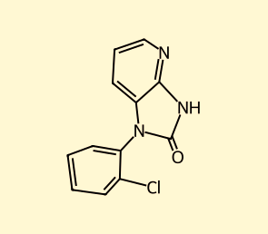 O=c1[nH]c2ncccc2n1-c1ccccc1Cl